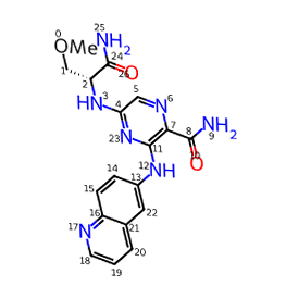 COC[C@@H](Nc1cnc(C(N)=O)c(Nc2ccc3ncccc3c2)n1)C(N)=O